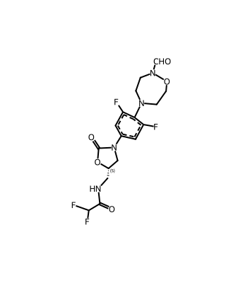 O=CN1CCN(c2c(F)cc(N3C[C@H](CNC(=O)C(F)F)OC3=O)cc2F)CCO1